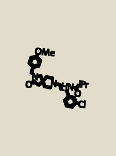 COc1ccc(CN2CC3(CCN(CC[C@H](NC(=O)C(C)C)c4cccc(Cl)c4)CC3)CC2=O)cc1